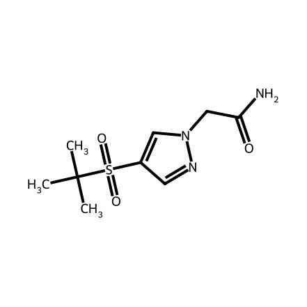 CC(C)(C)S(=O)(=O)c1cnn(CC(N)=O)c1